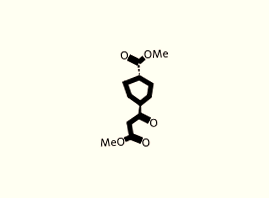 COC(=O)CC(=O)[C@H]1CC[C@H](C(=O)OC)CC1